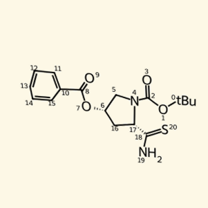 CC(C)(C)OC(=O)N1C[C@@H](OC(=O)c2ccccc2)C[C@H]1C(N)=S